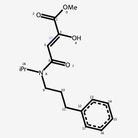 COC(=O)/C(O)=C/C(=O)N(CCCc1ccccc1)C(C)C